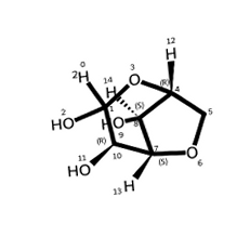 [2H]C1(O)O[C@@H]2CO[C@@H]([C@H]2O)[C@H]1O